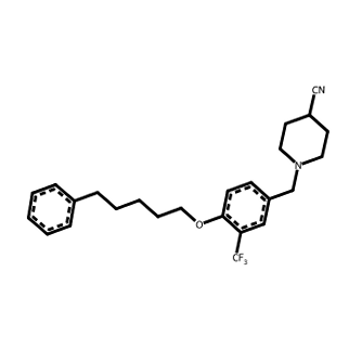 N#CC1CCN(Cc2ccc(OCCCCCc3ccccc3)c(C(F)(F)F)c2)CC1